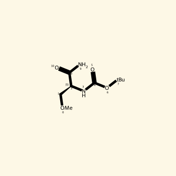 COC[C@H](NC(=O)OC(C)(C)C)C(N)=O